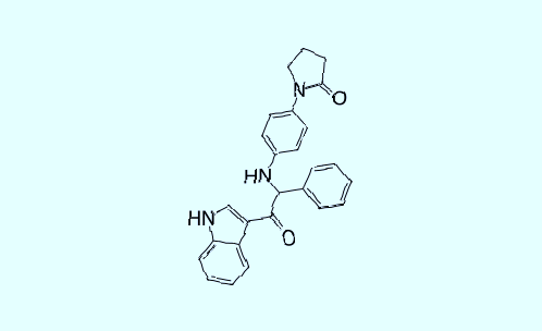 O=C(c1c[nH]c2ccccc12)C(Nc1ccc(N2CCCC2=O)cc1)c1ccccc1